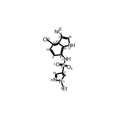 CCn1cc(S(=O)(=O)Nc2ccc(Cl)c3c(C#N)c[nH]c23)cn1